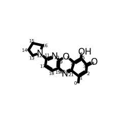 Cc1cc(=O)c(O)c2oc3nc(N4CCCC4)ccc3nc1-2